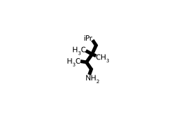 CC(C)CC(C)(C)C(C)CN